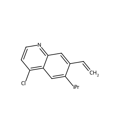 C=Cc1cc2nccc(Cl)c2cc1C(C)C